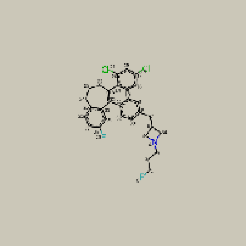 FCCCN1CC(Cc2ccc(C3=C(c4ccc(Cl)cc4Cl)CCCc4ccc(F)cc43)cc2)C1